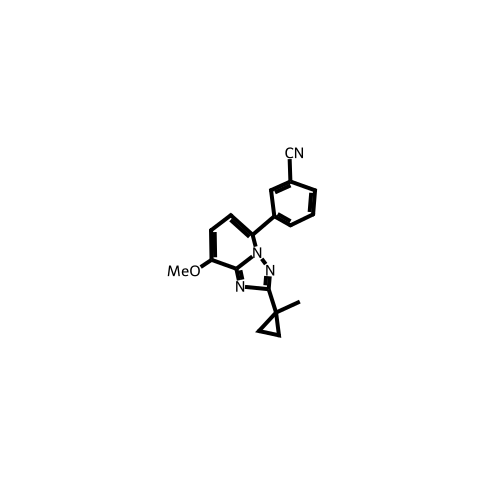 COc1ccc(-c2cccc(C#N)c2)n2nc(C3(C)CC3)nc12